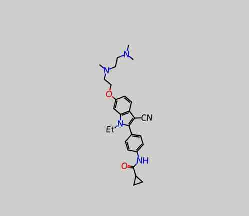 CCn1c(-c2ccc(NC(=O)C3CC3)cc2)c(C#N)c2ccc(OCCN(C)CCN(C)C)cc21